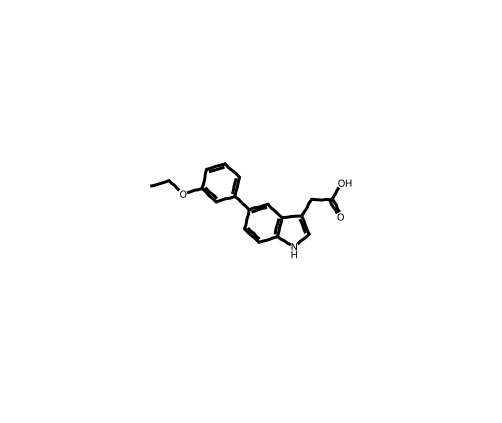 CCOc1cccc(-c2ccc3[nH]cc(CC(=O)O)c3c2)c1